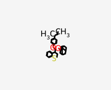 CCC(C)c1ccc(OC(OC23CC4CC(CC(C4)C2)C3)C2CCSc3ccccc32)cc1